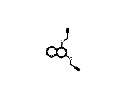 C#CCOc1cc(OCC#C)c2ccccc2c1